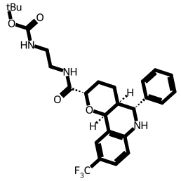 CC(C)(C)OC(=O)NCCNC(=O)[C@@H]1CC[C@@H]2[C@H](O1)c1cc(C(F)(F)F)ccc1N[C@H]2c1ccccc1